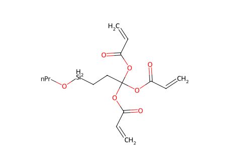 C=CC(=O)OC(CC[SiH2]OCCC)(OC(=O)C=C)OC(=O)C=C